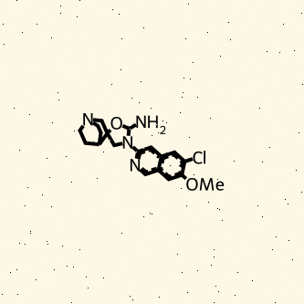 COc1cc2cnc(N3CC4(CN5CCC4CC5)OC3N)cc2cc1Cl